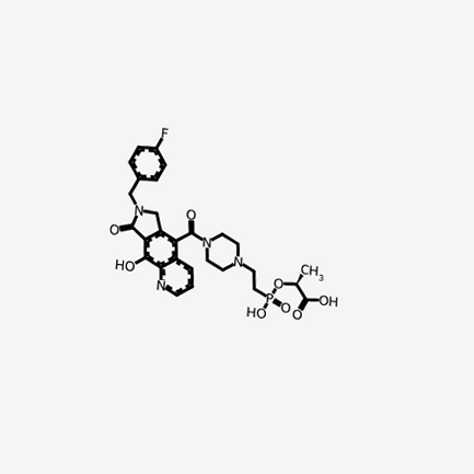 C[C@H](OP(=O)(O)CCN1CCN(C(=O)c2c3c(c(O)c4ncccc24)C(=O)N(Cc2ccc(F)cc2)C3)CC1)C(=O)O